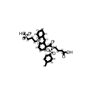 Cc1ccc(S(=O)(=O)N(CCCC(=O)O)C(=O)c2cccc3c2cc2ccccc2[n+]3CCCS(=O)(=O)O)cc1